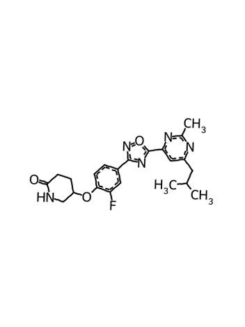 Cc1nc(CC(C)C)cc(-c2nc(-c3ccc(OC4CCC(=O)NC4)c(F)c3)no2)n1